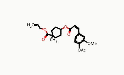 C=CCOC(=O)C1(C)CCC(OC(=O)/C=C\c2ccc(OC(C)=O)c(OC)c2)CC1